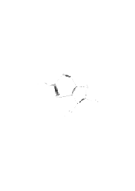 Cc1ccc2[nH]c(C#N)c(N)c2c1